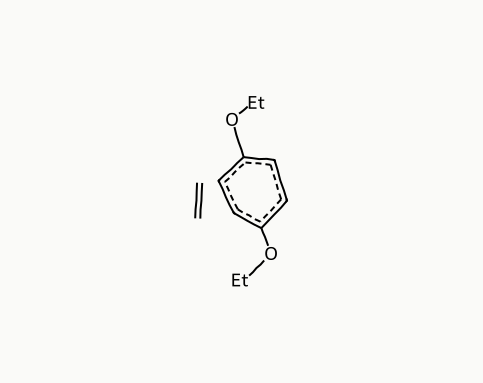 C=C.CCOc1ccc(OCC)cc1